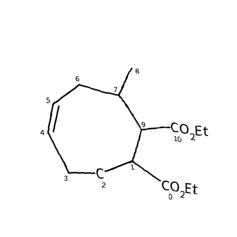 CCOC(=O)C1CCC=CCC(C)C1C(=O)OCC